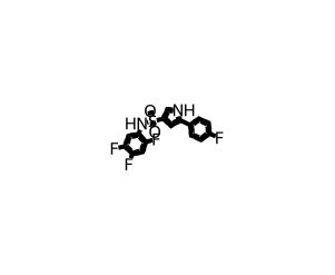 O=S(=O)(Nc1cc(F)c(F)cc1F)c1c[nH]c(-c2ccc(F)cc2)c1